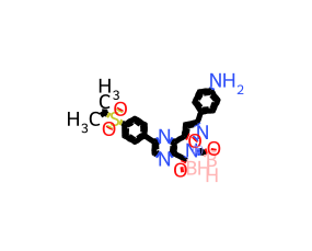 CC(C)S(=O)(=O)c1ccc(-c2cnc(C3(/N=C4\BO4)BO3)c(-c3cc(-c4ccc(N)cc4)no3)n2)cc1